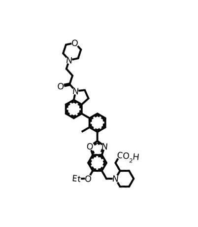 CCOc1cc2oc(-c3cccc(-c4cccc5c4CCN5C(=O)CCN4CCOCC4)c3C)nc2cc1CN1CCCCC1CC(=O)O